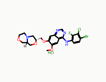 COc1cc2c(Nc3ccc(Br)c(Cl)c3F)ncnc2cc1OC[C@H]1CN2CCOC[C@H]2CO1.Cl